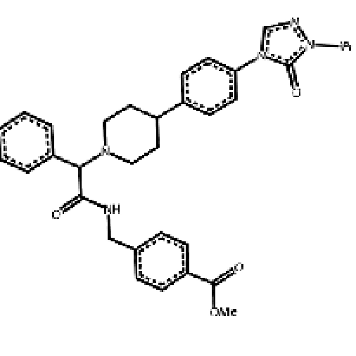 COC(=O)c1ccc(CNC(=O)C(c2ccccc2)N2CCC(c3ccc(-n4cnn(C(C)C)c4=O)cc3)CC2)cc1